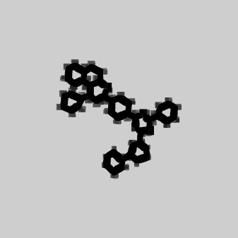 c1ccc(-c2cccc(-c3nc(-c4ccccc4)nc(-c4ccc(-c5cc(-c6ccccc6)c6c(ccc7ccccc76)n5)cc4)n3)c2)cc1